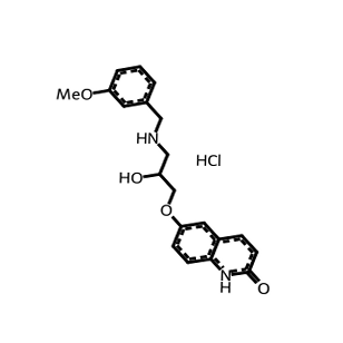 COc1cccc(CNCC(O)COc2ccc3[nH]c(=O)ccc3c2)c1.Cl